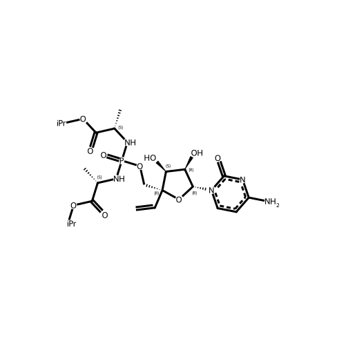 C=C[C@]1(COP(=O)(N[C@@H](C)C(=O)OC(C)C)N[C@@H](C)C(=O)OC(C)C)O[C@@H](n2ccc(N)nc2=O)[C@H](O)[C@@H]1O